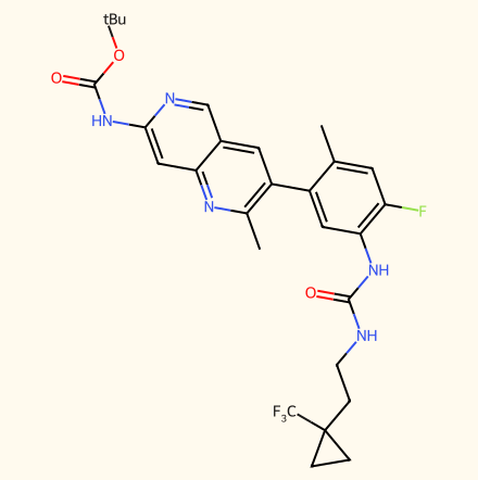 Cc1cc(F)c(NC(=O)NCCC2(C(F)(F)F)CC2)cc1-c1cc2cnc(NC(=O)OC(C)(C)C)cc2nc1C